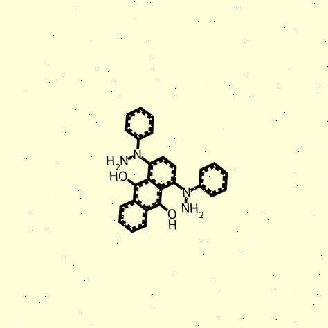 NN(c1ccccc1)c1ccc(N(N)c2ccccc2)c2c(O)c3ccccc3c(O)c12